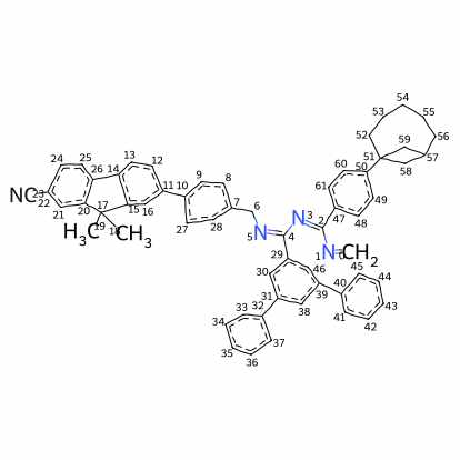 C=N/C(=N\C(=N/Cc1ccc(-c2ccc3c(c2)C(C)(C)c2cc(C#N)ccc2-3)cc1)c1cc(-c2ccccc2)cc(-c2ccccc2)c1)c1ccc(C23CCCCCC(C2)C3)cc1